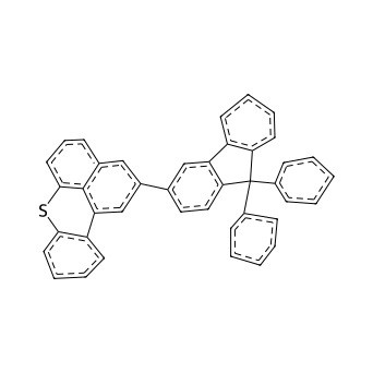 c1ccc(C2(c3ccccc3)c3ccccc3-c3cc(-c4cc5c6c(cccc6c4)Sc4ccccc4-5)ccc32)cc1